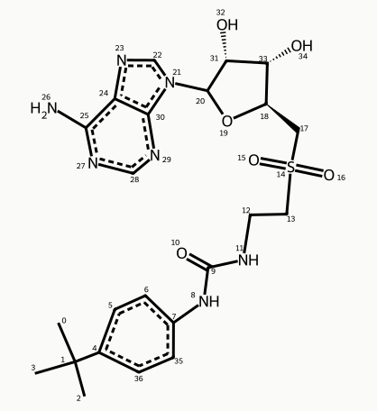 CC(C)(C)c1ccc(NC(=O)NCCS(=O)(=O)C[C@H]2OC(n3cnc4c(N)ncnc43)[C@H](O)[C@@H]2O)cc1